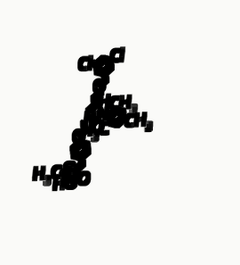 CCOC(Cc1ccc(OCCN(CCCCOCc2cc(Cl)cc(Cl)c2)C(=O)Nc2c(C)cc(C)cc2C)cc1)C(=O)O